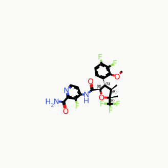 COc1c([C@@H]2[C@@H](C)[C@](C)(C(F)(F)F)O[C@H]2C(=O)Nc2ccnc(C(N)=O)c2F)ccc(F)c1F